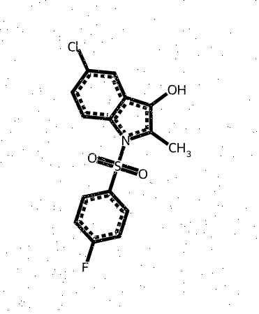 Cc1c(O)c2cc(Cl)ccc2n1S(=O)(=O)c1ccc(F)cc1